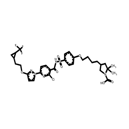 CC1(C)CC(CCCCOc2ccc(S(=O)(=O)NC(=O)c3ccc(-n4ccc(OCCC5CC5C(F)(F)F)n4)nc3Cl)cc2)CN1C(=O)O